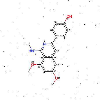 CNc1nc(-c2ccc(O)cc2)cc2cc(OC)cc(OC)c12